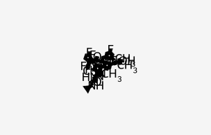 Cn1nc(NC(=O)CNC2CC2)c2c(Cl)ccc(-c3ccc(C#CC(C)(C)O)nc3C(Cc3cc(F)cc(F)c3)NC(=O)n3nc(C(F)F)c4c3C(F)(F)CC4)c21